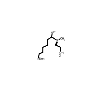 CCCCCCCCCCCCCCC(CCC)[N+](C)=CCO.[Cl-]